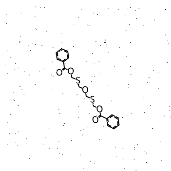 O=C(OCSCOCSCOC(=O)c1ccccc1)c1ccccc1